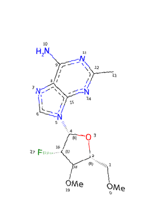 COC[C@H]1O[C@@H](n2cnc3c(N)nc(C)nc32)[C@@H](F)C1OC